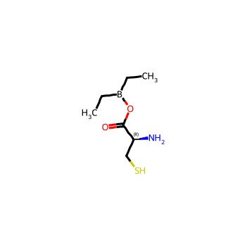 CCB(CC)OC(=O)[C@@H](N)CS